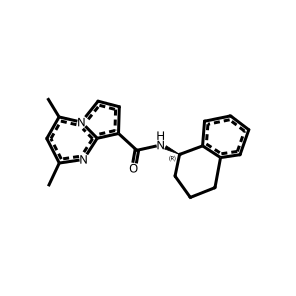 Cc1cc(C)n2ccc(C(=O)N[C@@H]3CCCc4ccccc43)c2n1